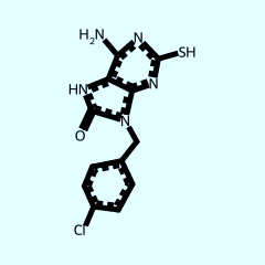 Nc1nc(S)nc2c1[nH]c(=O)n2Cc1ccc(Cl)cc1